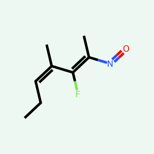 CC/C=C(C)\C(F)=C(/C)N=O